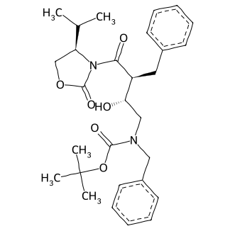 CC(C)[C@@H]1COC(=O)N1C(=O)[C@@H](Cc1ccccc1)[C@@H](O)CN(Cc1ccccc1)C(=O)OC(C)(C)C